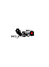 O=C(Nc1ncnc2c1ncn2[C@@H]1O[C@H](C(=O)O)C2OC3(CCCCC3)OC21)NC12CC3CC(CC(C3)C1)C2